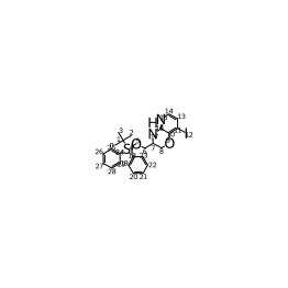 CC(C)(C)[Si](OCC1COc2c(I)ccnc2N1)(c1ccccc1)c1ccccc1